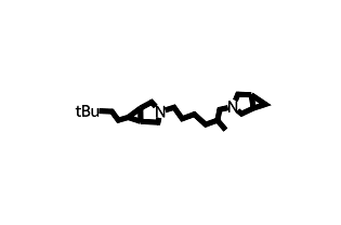 CC(CCCCN1CC2C(CCC(C)(C)C)C2C1)CN1CC2CC2C1